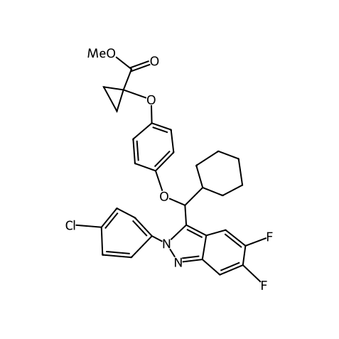 COC(=O)C1(Oc2ccc(OC(c3c4cc(F)c(F)cc4nn3-c3ccc(Cl)cc3)C3CCCCC3)cc2)CC1